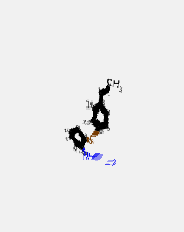 CCCc1ccc(Sc2ccccc2N)cc1